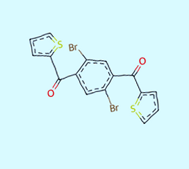 O=C(c1cccs1)c1cc(Br)c(C(=O)c2cccs2)cc1Br